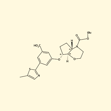 Cc1cnc(-c2cc(O[C@@H]3CC[C@H]4[C@H]3OCCN4C(=O)OC(C)(C)C)cc(C(=O)O)c2)s1